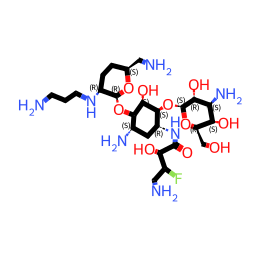 NCCCN[C@@H]1CC[C@@H](CN)O[C@@H]1OC1[C@@H](N)C[C@@H](NC(=O)C(O)C(F)CN)[C@H](O[C@H]2O[C@H](CO)[C@@H](O)[C@H](N)[C@H]2O)[C@H]1O